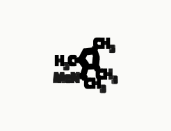 CNC(C)c1c(C)cc(C)cc1C